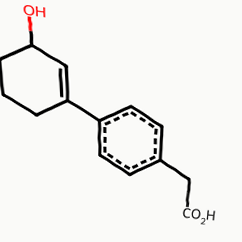 O=C(O)Cc1ccc(C2=CC(O)CCC2)cc1